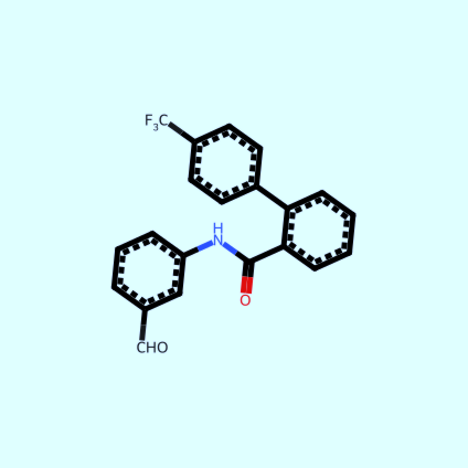 O=Cc1cccc(NC(=O)c2ccccc2-c2ccc(C(F)(F)F)cc2)c1